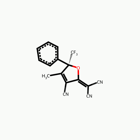 CC1=C(C#N)C(=C(C#N)C#N)O[C@@]1(c1ccccc1)C(F)(F)F